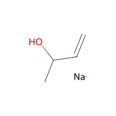 C=CC(C)O.[Na]